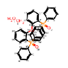 O.O.O=P(c1ccccc1)(c1ccccc1)c1ccccc1Oc1ccccc1P(=O)(c1ccccc1)c1ccccc1